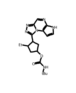 CCC1CC(OC(=O)NC(C)(C)C)CC1c1nnc2cnc3[nH]ccc3n12